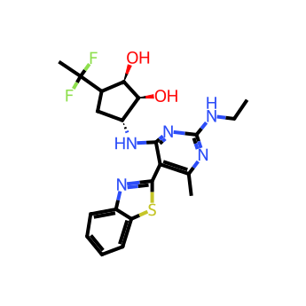 CCNc1nc(C)c(-c2nc3ccccc3s2)c(N[C@@H]2CC(C(C)(F)F)[C@@H](O)[C@H]2O)n1